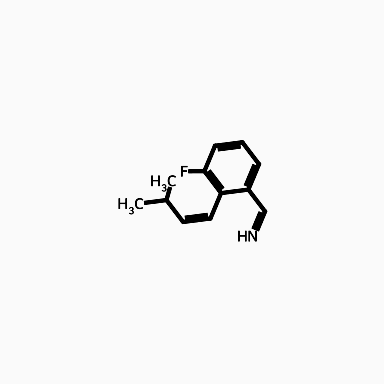 CC(C)/C=C\c1c(F)cccc1C=N